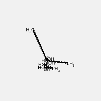 CCCCCCCCCCCCCCCCCCCCCCCCCC(=O)N[C@@H](CO[C@H]1OC(COCCC)[C@H](O)[C@H](O)C1O)[C@H](O)[C@H](O)CCCCCCCCCCCCCC